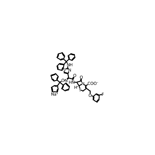 O=C([O-])C1=C(COc2cccc(F)c2)CS[C@H]2C(NC(=O)C(=NOC(c3ccccc3)(c3ccccc3)c3ccccc3)c3csc(NC(c4ccccc4)(c4ccccc4)c4ccccc4)n3)C(=O)N12.[Na+]